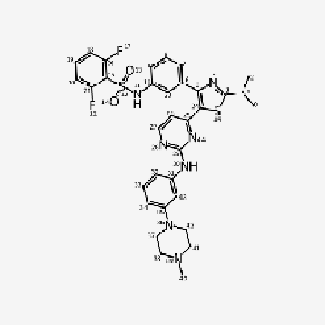 CC(C)c1nc(-c2cccc(NS(=O)(=O)c3c(F)cccc3F)c2)c(-c2ccnc(Nc3cccc(N4CCN(C)CC4)c3)n2)s1